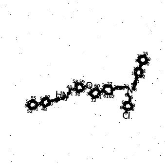 Clc1ccc(CCN(CC#Cc2ccc(-c3ccccc3)cc2)CC#CC2C=CC(c3cccc(Oc4ccc(CCNCC#Cc5ccc(-c6ccccc6)cc5)cc4)c3)=CC2)cc1